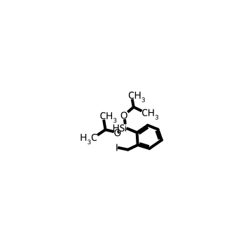 CC(C)O[SiH](OC(C)C)c1ccccc1CI